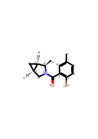 Cc1ccc(Br)c(C(=O)N2C[C@H]3C[C@H]3[C@H]2C)c1